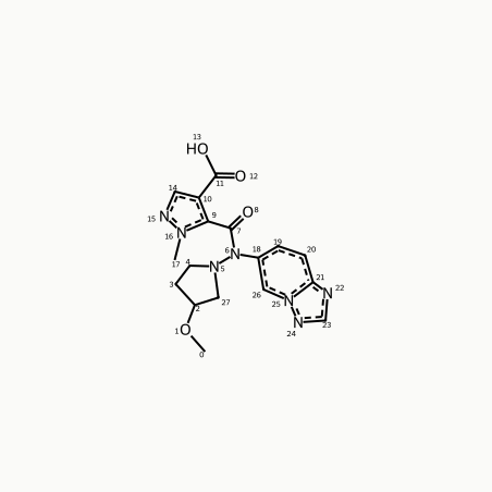 COC1CCN(N(C(=O)c2c(C(=O)O)cnn2C)c2ccc3ncnn3c2)C1